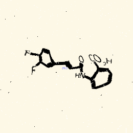 O=C(/C=C/c1ccc(F)c(F)c1)Nc1ccccc1C(=O)O